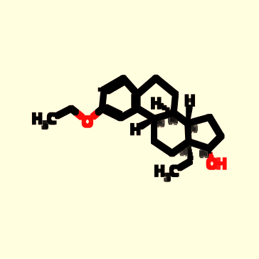 CCOc1[c]cc2c(c1)[C@H]1CC[C@]3(CC)[C@@H](O)CC[C@H]3[C@@H]1CC2